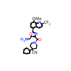 COc1ccc(-c2nc(C(=O)N3CCC(C#N)(c4ccccc4)CC3)c(CN)o2)c2ccc(C(F)(F)F)nc12